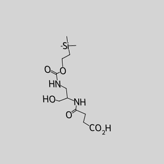 C[Si](C)(C)CCOC(=O)NCC(CO)NC(=O)CCC(=O)O